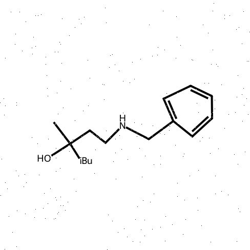 CCC(C)C(C)(O)CCNCc1ccccc1